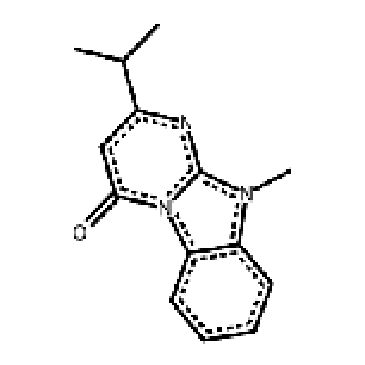 CC(C)c1cc(=O)n2c3ccccc3n(C)c2n1